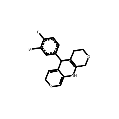 Fc1ccc(C2C3=CCSC=C3NC3=C2CCOC3)cc1Br